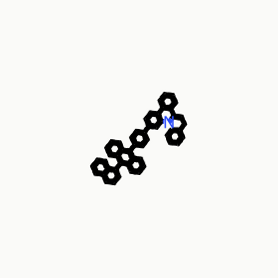 C1=C2c3ccccc3-c3ccc(-c4ccc(-c5c6ccccc6c(-c6cccc7ccccc67)c6ccccc56)cc4)cc3N2c2ccccc2C1